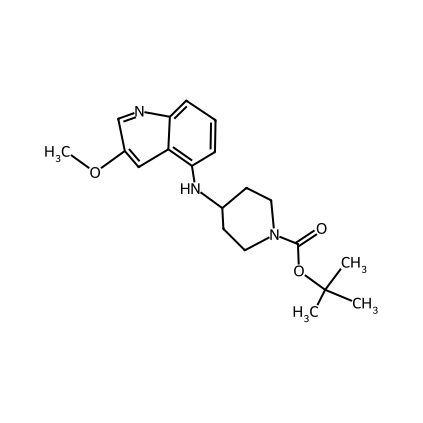 COc1cnc2cccc(NC3CCN(C(=O)OC(C)(C)C)CC3)c2c1